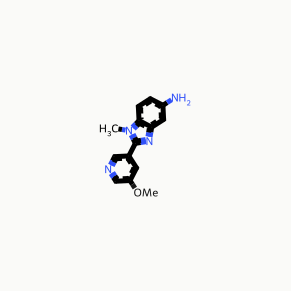 COc1cncc(-c2nc3cc(N)ccc3n2C)c1